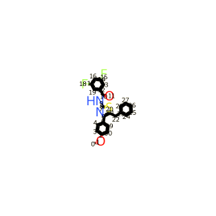 COc1ccc(-c2nc(NC(=O)c3cc(F)cc(F)c3)sc2Cc2ccccc2)cc1